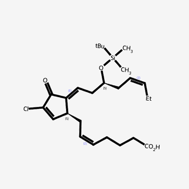 CC/C=C\C[C@@H](C/C=C1/C(=O)C(Cl)=C[C@@H]1C/C=C\CCCC(=O)O)O[Si](C)(C)C(C)(C)C